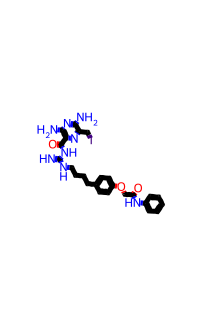 N=C(NCCCCc1ccc(OCC(=O)Nc2ccccc2)cc1)NC(=O)c1nc(CI)c(N)nc1N